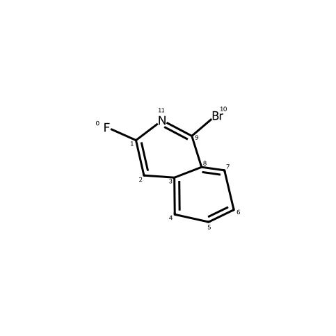 Fc1cc2ccccc2c(Br)n1